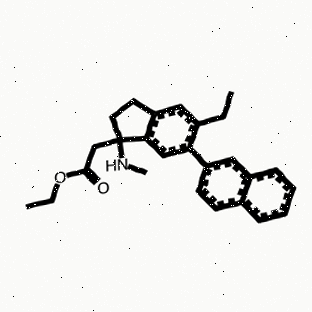 CCOC(=O)CC1(NC)CCc2cc(CC)c(-c3ccc4ccccc4c3)cc21